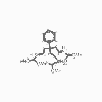 COC(OC)[SiH2]CCC(CC[SiH2]C(OC)OC)(CC[SiH2]C(OC)OC)c1ccccc1